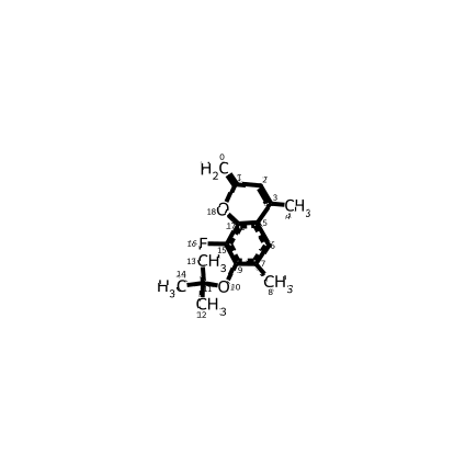 C=C1C=C(C)c2cc(C)c(OC(C)(C)C)c(F)c2O1